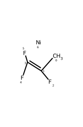 CC(F)=C(F)F.[Ni]